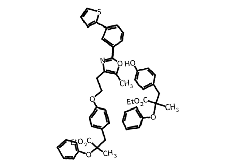 CCOC(=O)C(C)(Cc1ccc(O)cc1)Oc1ccccc1.CCOC(=O)C(C)(Cc1ccc(OCCc2nc(-c3cccc(-c4cccs4)c3)oc2C)cc1)Oc1ccccc1